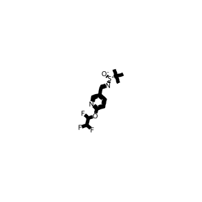 CC(C)(C)[S+]([O-])N=Cc1ccc(OC(F)C(F)F)nc1